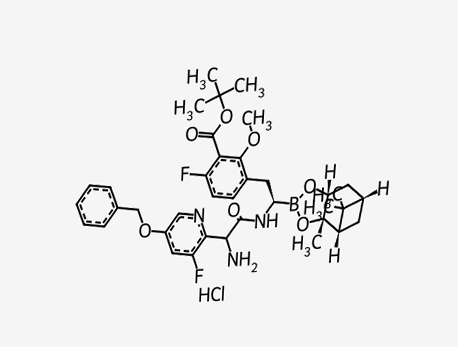 COc1c(C[C@H](NC(=O)C(N)c2ncc(OCc3ccccc3)cc2F)B2O[C@@H]3C[C@@H]4C[C@@H](C4(C)C)[C@]3(C)O2)ccc(F)c1C(=O)OC(C)(C)C.Cl